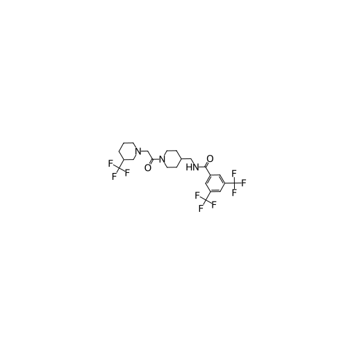 O=C(NCC1CCN(C(=O)CN2CCCC(C(F)(F)F)C2)CC1)c1cc(C(F)(F)F)cc(C(F)(F)F)c1